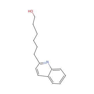 OCCCCCCc1ccc2ccccc2n1